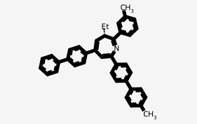 CC[C@H]1C=C(c2ccc(-c3ccccc3)cc2)C=C(c2ccc(-c3ccc(C)cc3)cc2)N=C1c1cccc(C)c1